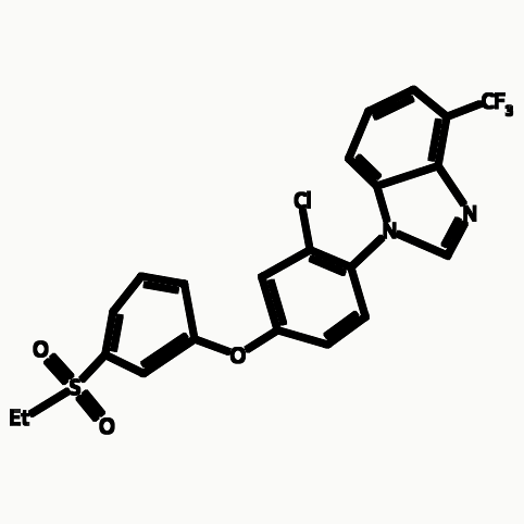 CCS(=O)(=O)c1cccc(Oc2ccc(-n3cnc4c(C(F)(F)F)cccc43)c(Cl)c2)c1